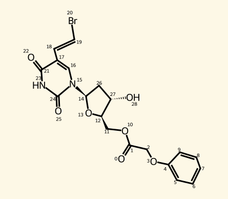 O=C(COc1ccccc1)OC[C@H]1O[C@@H](n2cc(C=CBr)c(=O)[nH]c2=O)C[C@@H]1O